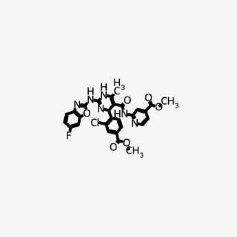 COC(=O)c1ccnc(NC(=O)C2=C(C)NC(Nc3nc4ccc(F)cc4o3)=NC2c2ccc(C(=O)OC)cc2Cl)c1